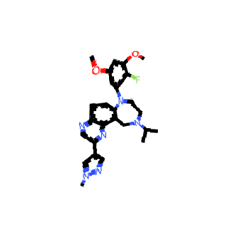 COc1cc(OC)c(F)c(N2CCN(C(C)C)Cc3c2ccc2ncc(-c4cnn(C)c4)nc32)c1